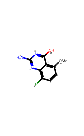 COc1ccc(F)c2nc(N)nc(O)c12